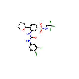 O=C(Nc1ccc(F)c(Cl)c1)Nc1cc(S(=O)(=O)NCC(F)(F)F)ccc1C1CCCCO1